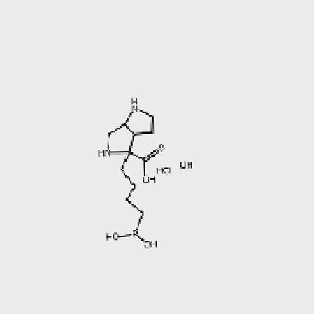 Cl.Cl.O=C(O)C1(CCCCB(O)O)NCC2NCCC21